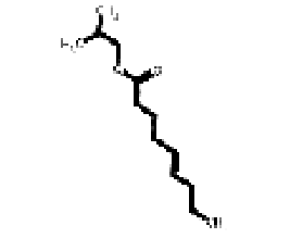 CCC/C=C/CCCC(=O)OCC(C)C